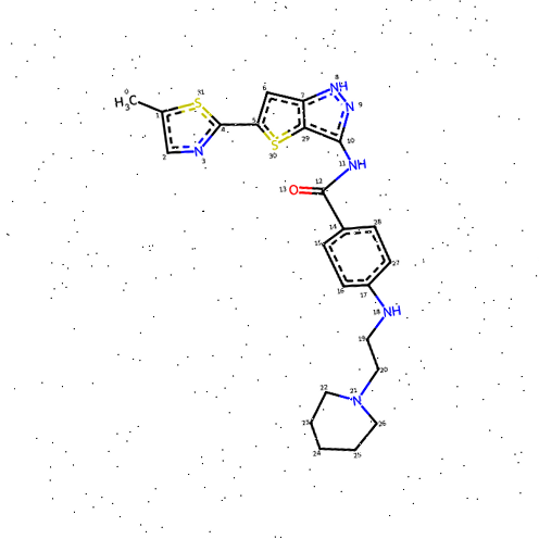 Cc1cnc(-c2cc3[nH]nc(NC(=O)c4ccc(NCCN5CCCCC5)cc4)c3s2)s1